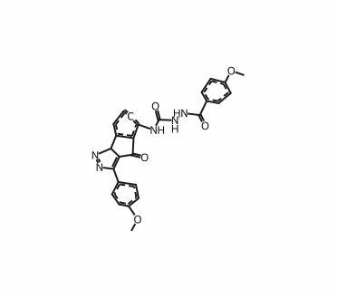 COc1ccc(C(=O)NNC(=O)Nc2cccc3c2C(=O)C2=C(c4ccc(OC)cc4)N=NC23)cc1